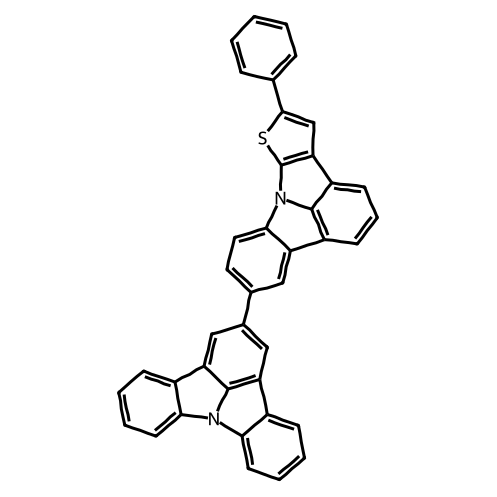 c1ccc(-c2cc3c4cccc5c6cc(-c7cc8c9ccccc9n9c%10ccccc%10c(c7)c89)ccc6n(c3s2)c54)cc1